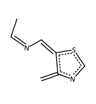 C=c1ncs/c1=C/N=C\C